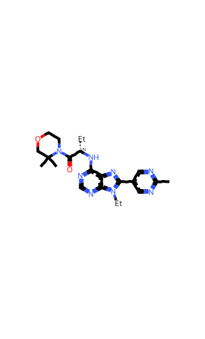 CC[C@H](Nc1ncnc2c1nc(-c1cnc(C)nc1)n2CC)C(=O)N1CCOCC1(C)C